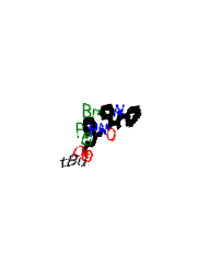 Cc1c(-c2ccccc2)nc2ccc(Br)cc2c1C(=O)NCC(CCC(=O)OC(C)(C)C)c1cccc(F)c1Cl